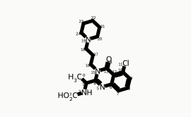 CC(NC(=O)O)c1nc2cccc(Cl)c2c(=O)n1CCCN1CCCCC1